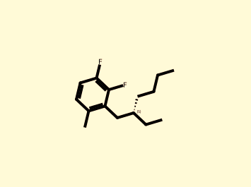 CCCC[C@H](CC)Cc1c(C)ccc(F)c1F